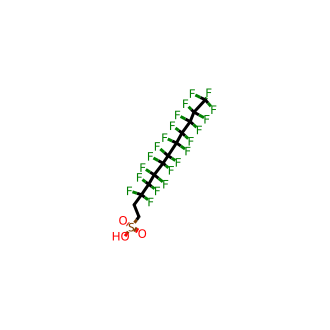 O=S(=O)(O)CCC(F)(F)C(F)(F)C(F)(F)C(F)(F)C(F)(F)C(F)(F)C(F)(F)C(F)(F)C(F)(F)C(F)(F)F